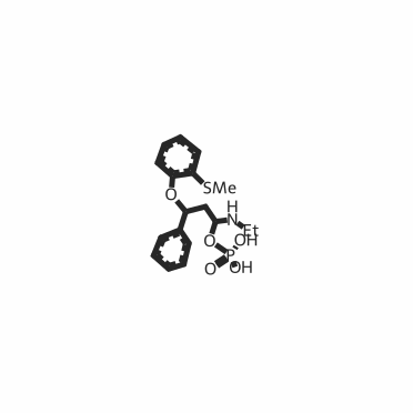 CCNC(CC(Oc1ccccc1SC)c1ccccc1)OP(=O)(O)O